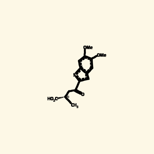 COc1cc2cc(C(=O)C[C@H](C)C(=O)O)sc2cc1OC